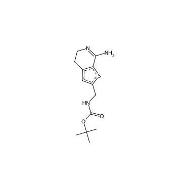 CC(C)(C)OC(=O)NCc1cc2c(s1)C(N)=NCC2